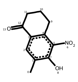 Cc1cc2c(c([N+](=O)[O-])c1O)CCCC2=O